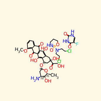 COc1cccc2c1C(=O)c1c(O)c3c(c(O)c1C2=O)C[C@@](O)(C(=O)CO)C[C@@H]3O[C@H]1C[C@H](N)[C@@H](O)[C@H](C)O1.O=P1(N(CCCl)CCCl)NCCCO1.O=c1[nH]cc(F)c(=O)[nH]1